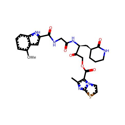 COc1cccc2[nH]c(C(=O)NCC(=O)N[C@@H](C[C@@H]3CCCNC3=O)C(=O)COC(=O)c3c(C)nc4sccn34)cc12